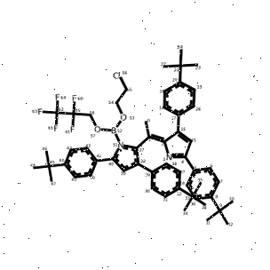 C/C(=C1/N=C(c2ccc(C(C)(C)C)cc2)C=C1c1ccc(C(C)(C)C)cc1)c1c(-c2ccc(C(C)(C)C)cc2)cc(-c2ccc(C(C)(C)C)cc2)n1B(OCCCl)OCC(F)(F)C(F)(F)F